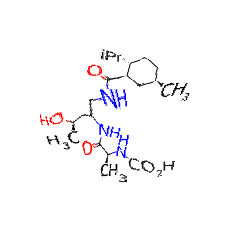 CC(C)[C@@H]1CC[C@@H](C)C[C@H]1C(=O)NCC(NC(=O)[C@H](C)NC(=O)O)[C@@H](C)O